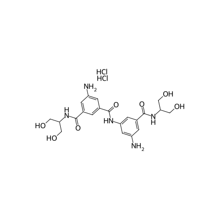 Cl.Cl.Nc1cc(NC(=O)c2cc(N)cc(C(=O)NC(CO)CO)c2)cc(C(=O)NC(CO)CO)c1